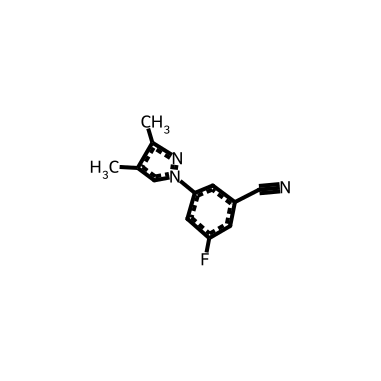 Cc1cn(-c2cc(F)cc(C#N)c2)nc1C